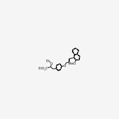 CCOC(=O)C(Cc1ccc(OCC=Cc2c(OC)ccc3ccccc23)cc1)OCC